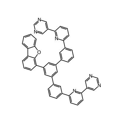 c1cc(-c2cc(-c3cccc(-c4cccc(-c5cncnc5)n4)c3)cc(-c3cccc4c3oc3ccccc34)c2)cc(-c2cccc(-c3cncnc3)n2)c1